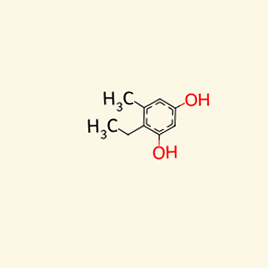 CCc1c(C)cc(O)cc1O